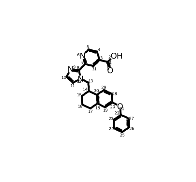 O=C(O)c1ccnc(-c2nccn2CC2CCCc3cc(Oc4ccccc4)ccc32)c1